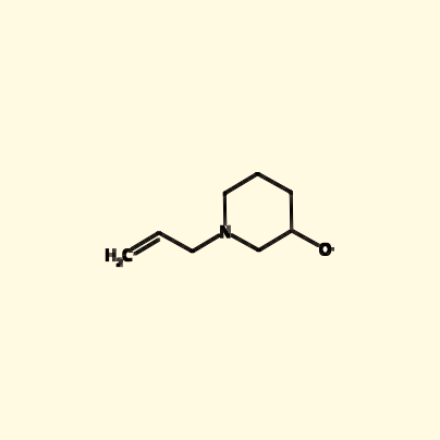 C=CCN1CCCC([O])C1